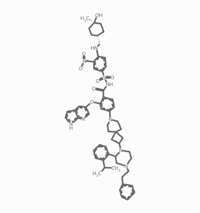 CC(C)c1ccccc1C1CN(CCc2ccccc2)CCN1C1CC2(CCN(c3ccc(C(=O)NS(=O)(=O)c4ccc(NC[C@H]5CC[C@](C)(O)CC5)c([N+](=O)[O-])c4)c(Oc4cnc5[nH]ccc5c4)c3)CC2)C1